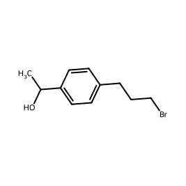 CC(O)c1ccc(CCCBr)cc1